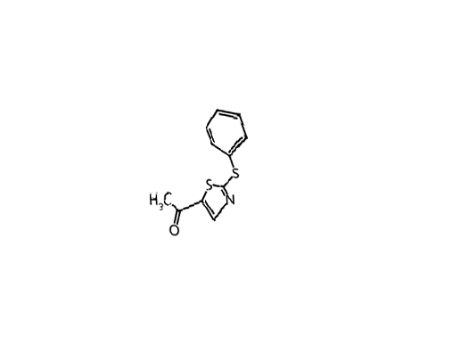 CC(=O)c1cnc(Sc2ccccc2)s1